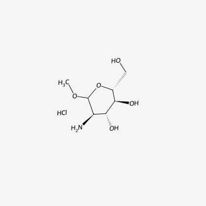 COC1O[C@H](CO)[C@@H](O)[C@H](O)[C@H]1N.Cl